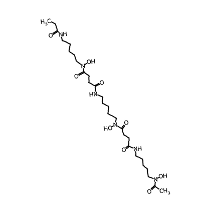 CCC(=O)NCCCCCN(O)C(=O)CCC(=O)NCCCCCN(O)C(=O)CCC(=O)NCCCCCN(O)C(C)=O